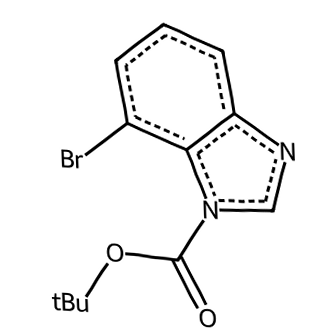 CC(C)(C)OC(=O)n1cnc2cccc(Br)c21